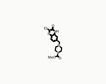 CCc1nc2ccc(CN3CCN(C(=O)OC)CC3)cc2[nH]c1=O